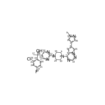 Cn1cc(-c2cc3c(N4CCN(c5ncc(C(C)(O)c6ccc(F)cc6Cl)cn5)CC4)ncnn3c2)cn1